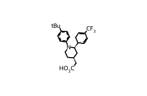 CC(C)(C)c1ccc(N2CC[C@H](CC(=O)O)C[C@@H]2C2C=CC(C(F)(F)F)=CC2)cc1